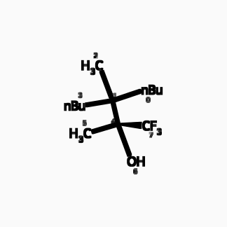 CCCCC(C)(CCCC)[C@@](C)(O)C(F)(F)F